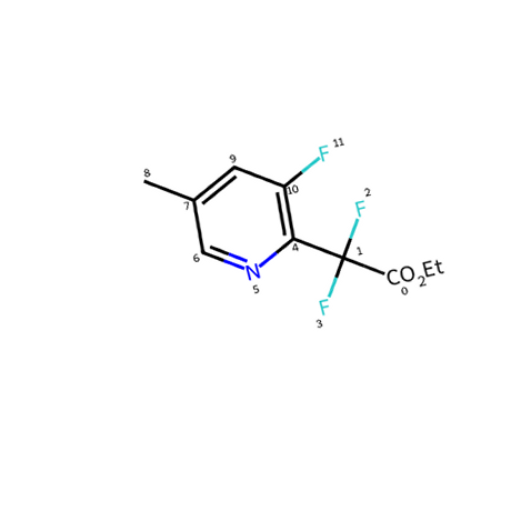 CCOC(=O)C(F)(F)c1ncc(C)cc1F